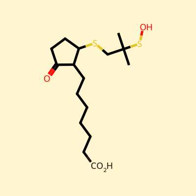 CC(C)(CSC1CCC(=O)C1CCCCCCC(=O)O)SO